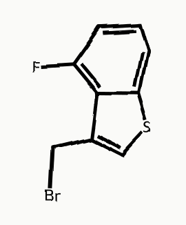 Fc1cccc2scc(CBr)c12